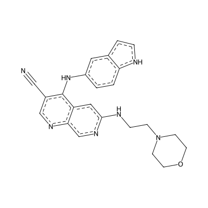 N#Cc1cnc2cnc(NCCN3CCOCC3)cc2c1Nc1ccc2[nH]ccc2c1